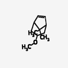 COC1CC2C=CC(C1)C2(C)C